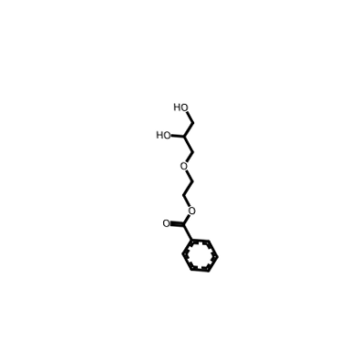 O=C(OCCOCC(O)CO)c1ccccc1